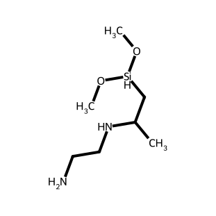 CO[SiH](CC(C)NCCN)OC